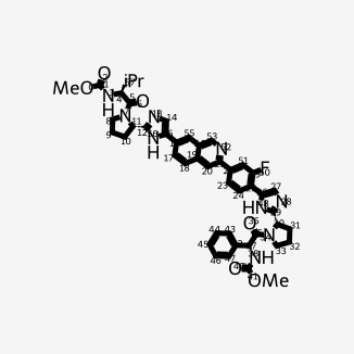 COC(=O)N[C@H](C(=O)N1CCC[C@H]1c1ncc(-c2ccc3cc(-c4ccc(-c5cnc([C@@H]6CCCN6C(=O)[C@H](NC(=O)OC)c6ccccc6)[nH]5)c(F)c4)ncc3c2)[nH]1)C(C)C